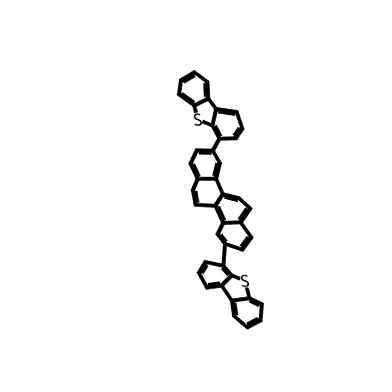 c1ccc2c(c1)sc1c(-c3ccc4ccc5c6cc(-c7cccc8c7sc7ccccc78)ccc6ccc5c4c3)cccc12